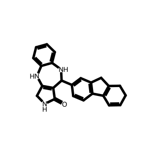 O=C1NCC2=C1C(c1ccc3c(c1)CC1=C3C=CCC1)Nc1ccccc1N2